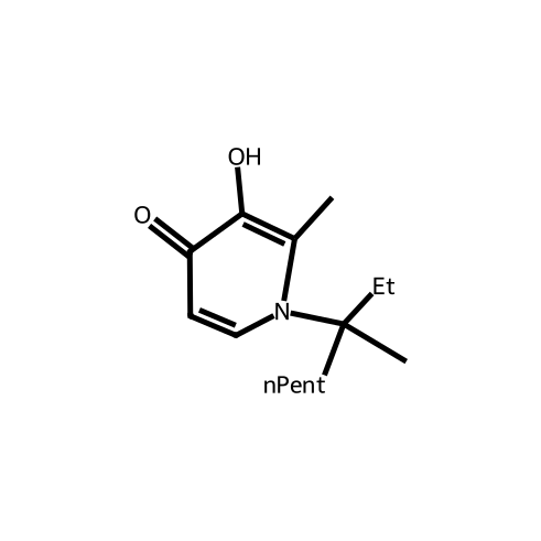 CCCCCC(C)(CC)n1ccc(=O)c(O)c1C